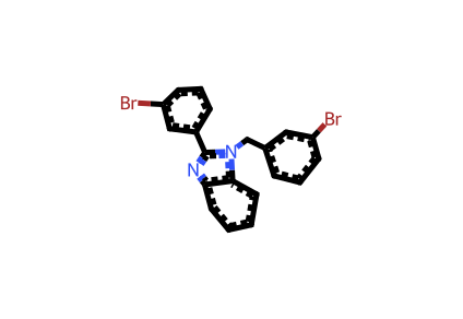 Brc1cccc(Cn2c(-c3cccc(Br)c3)nc3ccccc32)c1